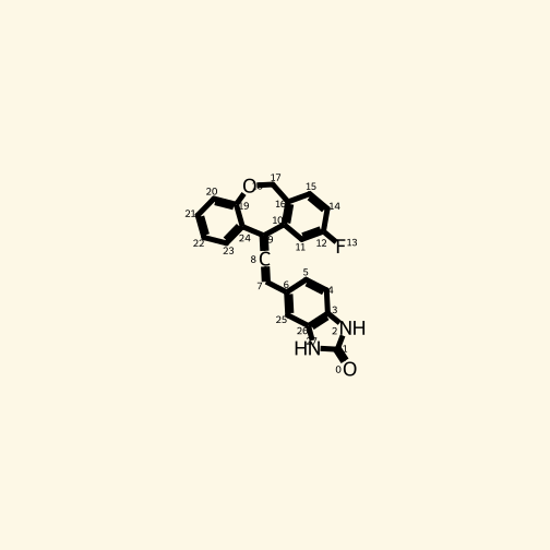 O=c1[nH]c2ccc(C=C=C3c4cc(F)ccc4COc4ccccc43)cc2[nH]1